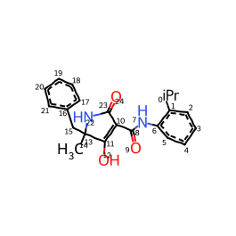 CC(C)c1ccccc1NC(=O)C1=C(O)C(C)(Cc2ccccc2)NC1=O